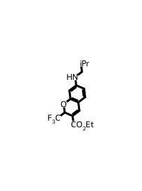 CCOC(=O)C1=Cc2ccc(NCC(C)C)cc2OC1C(F)(F)F